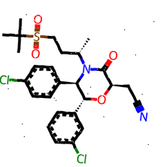 C[C@@H](CCS(=O)(=O)C(C)(C)C)N1C(=O)[C@@H](CC#N)O[C@H](c2cccc(Cl)c2)[C@H]1c1ccc(Cl)cc1